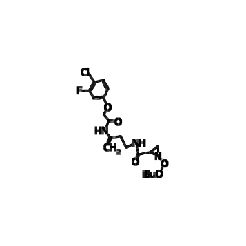 C=C(CCNC(=O)C1CN1OOCC(C)C)NC(=O)COc1ccc(Cl)c(F)c1